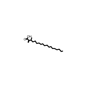 C=C(C(=O)O)C(C)CCCCCCCCCCCCCCCC